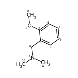 COc1ccccc1CN(C)C